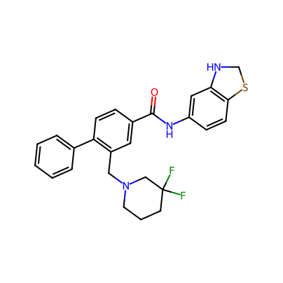 O=C(Nc1ccc2c(c1)NCS2)c1ccc(-c2ccccc2)c(CN2CCCC(F)(F)C2)c1